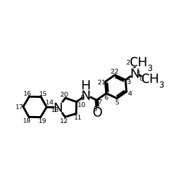 CN(C)c1ccc(C(=O)NC2CCN(C3CCCCC3)C2)cc1